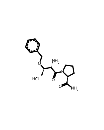 C[C@@H](OCc1ccccc1)[C@H](N)C(=O)N1CCC[C@H]1C(N)=O.Cl